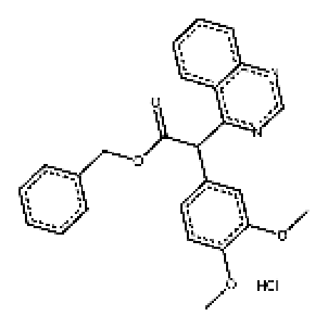 COc1ccc(C(C(=O)OCc2ccccc2)c2ncnc3ccccc23)cc1OC.Cl